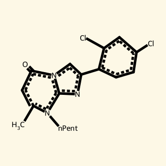 CCCCCn1c(C)cc(=O)n2cc(-c3ccc(Cl)cc3Cl)nc12